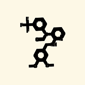 COc1ccc(CNc2ncccc2N(C=O)c2cccc(C(F)(F)F)c2)cc1OC